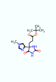 Cn1cnc(C2(CCC(=O)OC(C)(C)C)NC(=O)NC2=O)c1